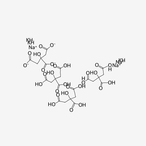 O=C(O)CC(O)(CC(=O)O)C(=O)O.O=C(O)CC(O)(CC(=O)O)C(=O)O.O=C(O)CC(O)(CC(=O)O)C(=O)O.O=C([O-])CC(O)(CC(=O)[O-])C(=O)[O-].[KH].[KH].[KH].[Na+].[Na+].[Na+]